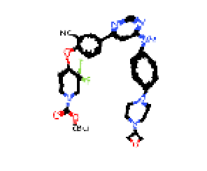 CC(C)(C)OC(=O)N1CCC(Oc2ccc(-c3cc(Nc4ccc(N5CCN(C6COC6)CC5)cc4)ncn3)cc2C#N)C(F)(F)C1